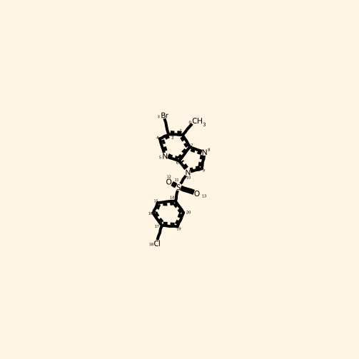 Cc1c(Br)cnc2c1ncn2S(=O)(=O)c1ccc(Cl)cc1